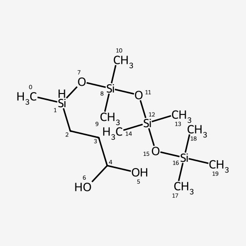 C[SiH](CCC(O)O)O[Si](C)(C)O[Si](C)(C)O[Si](C)(C)C